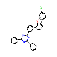 Clc1ccc2c(c1)oc1c(-c3cccc(-c4nc(-c5ccccc5)nc(-c5ccccc5)n4)c3)cccc12